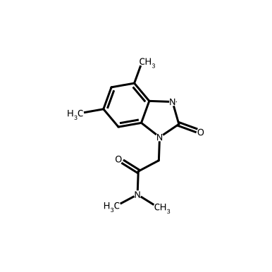 Cc1cc(C)c2c(c1)N(CC(=O)N(C)C)C(=O)[N]2